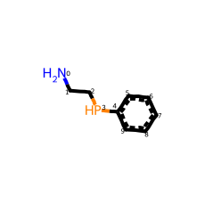 NCCPc1ccccc1